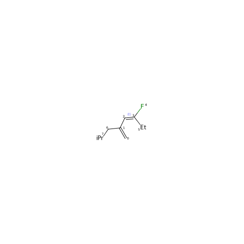 C=C(/C=C(/F)CC)CC(C)C